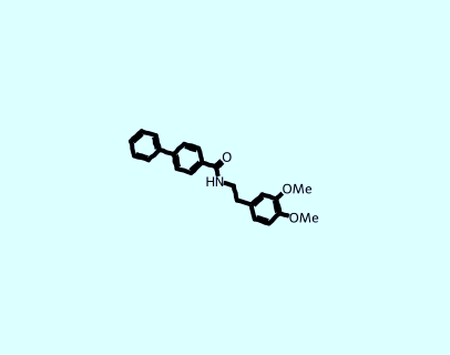 COc1ccc(CCNC(=O)c2ccc(-c3ccccc3)cc2)cc1OC